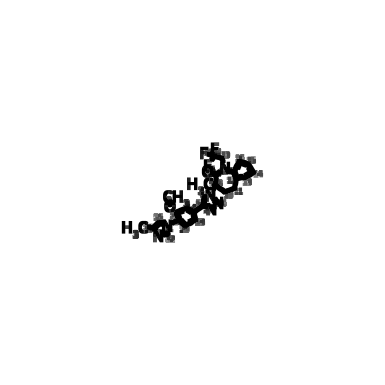 COc1cc(-c2cn(C3(C)CCc4ccccc4N(CC(F)(F)F)C3=O)nn2)ccc1-n1cnc(C)c1